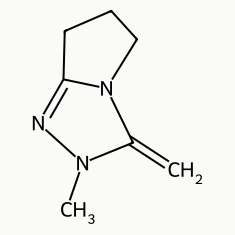 C=C1N(C)N=C2CCCN12